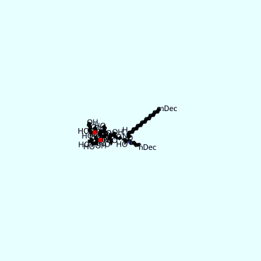 CCCCCCCCCCCCC/C=C/[C@@H](O)[C@H](CO[C@@H]1OC(CO)[C@@H](O[C@@H]2OC(CO)[C@H](O[C@@H]3OC(CO)[C@H](O)[C@H](O)C3NC(C)=O)[C@H](O[C@H]3OC(CO)[C@H](O)[C@H](O)C3O)C2O)[C@H](O)C1O)NC(=O)CCCCCCCCCCCCCCCCCCCCCCCCC